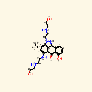 O=C1c2c(O)cccc2-c2nn(CCNCCO)c3ccc(NCCNCCO)c1c23.[CH2]C